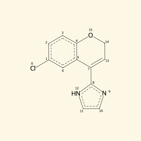 Clc1ccc2c(c1)C(c1ncc[nH]1)=CCO2